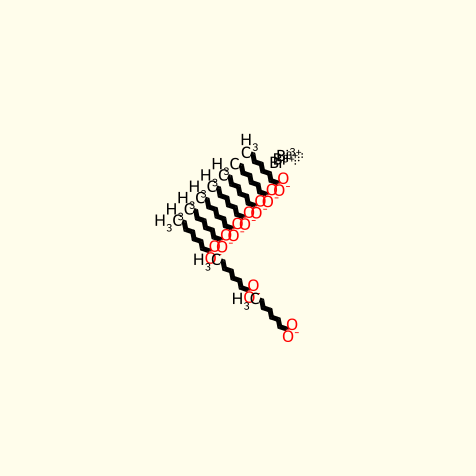 CCCCCCCC(=O)[O-].CCCCCCCC(=O)[O-].CCCCCCCC(=O)[O-].CCCCCCCC(=O)[O-].CCCCCCCC(=O)[O-].CCCCCCCC(=O)[O-].CCCCCCCC(=O)[O-].CCCCCCCC(=O)[O-].CCCCCCCC(=O)[O-].[Bi+3].[Bi+3].[Bi+3]